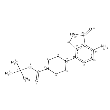 CC(C)(C)OC(=O)N1CCN(c2ccc(N)c3c2CNC3=O)CC1